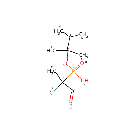 CC(C)C(C)(C)OP(=O)(O)C(C)(Cl)C=O